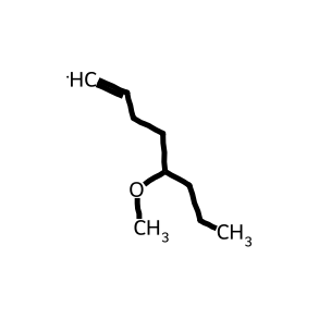 [CH]=CCCC(CCC)OC